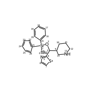 CC(C)(C)[Si](OC(c1nccs1)C1CCCNC1)(c1ccccc1)c1ccccc1